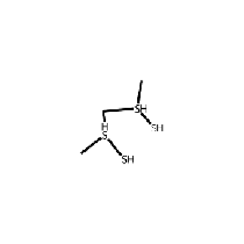 C[SH](S)C[SH](C)S